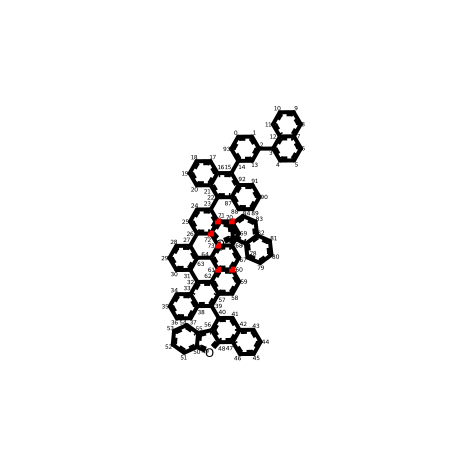 c1cc(-c2cccc3ccccc23)cc(-c2c3ccccc3c(-c3ccc(-c4cccc(-c5c6ccccc6c(-c6cc7ccccc7c7oc8ccccc8c67)c6ccccc56)c4-c4cccc5ccccc45)c4oc5c6ccccc6ccc5c34)c3ccccc23)c1